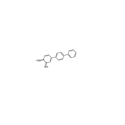 N=C1C=CC(c2ccc(-c3ccccc3)cc2)=CC1=N